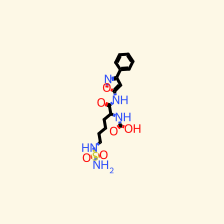 NS(=O)(=O)NCCCCC(NC(=O)O)C(=O)Nc1cc(-c2ccccc2)no1